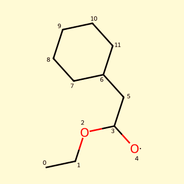 CCOC([O])CC1CCCCC1